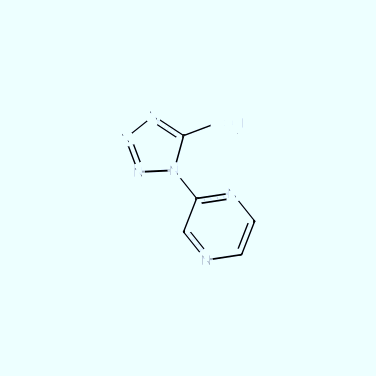 O=C(O)c1nnnn1-c1cnccn1